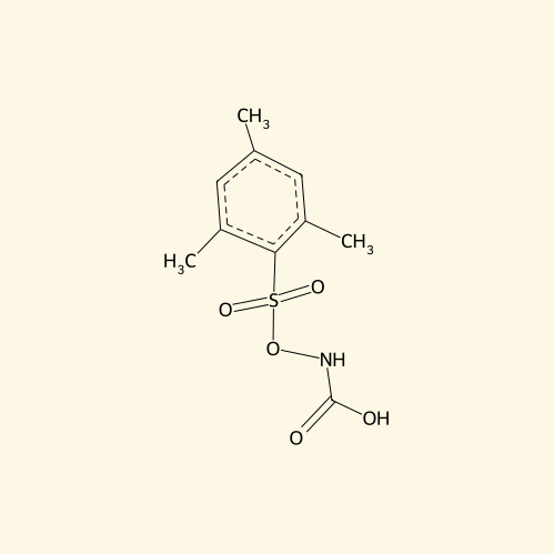 Cc1cc(C)c(S(=O)(=O)ONC(=O)O)c(C)c1